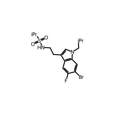 CC(C)Cn1cc(CCNS(=O)(=O)C(C)C)c2cc(F)c(Br)cc21